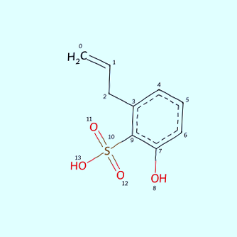 C=CCc1cccc(O)c1S(=O)(=O)O